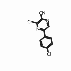 N#Cc1ncc(-c2ccc(Cl)cc2)nc1Cl